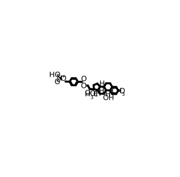 C[C@]12C=CC(=O)C=C1CC[C@@H]1[C@@H]2[C@@H](O)C[C@@]2(C)[C@H]1CC[C@]2(O)C(=O)COC(=O)c1ccc(CO[N+](=O)O)cc1